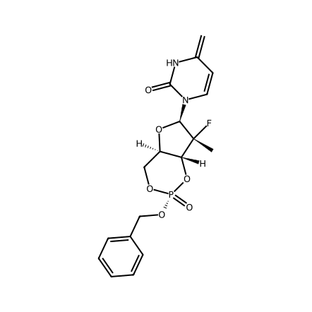 C=C1C=CN([C@@H]2O[C@@H]3CO[P@@](=O)(OCc4ccccc4)O[C@H]3[C@@]2(C)F)C(=O)N1